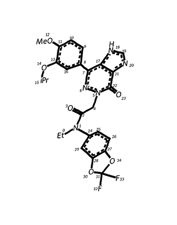 CCN(C(=O)Cn1nc(-c2ccc(OC)c(OC(C)C)c2)c2[nH]cnc2c1=O)c1ccc2c(c1)OC(F)(F)O2